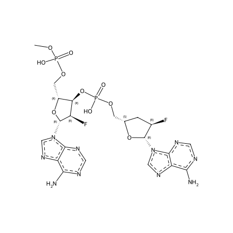 COP(=O)(O)OC[C@H]1O[C@@H](n2cnc3c(N)ncnc32)[C@H](F)[C@@H]1OP(=O)(O)OC[C@@H]1C[C@@H](F)[C@H](n2cnc3c(N)ncnc32)O1